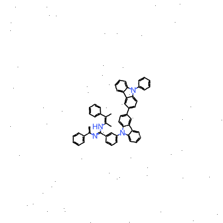 C=C(/N=C(\N/C(C)=C(/C)c1ccccc1)c1cccc(-n2c3ccccc3c3cc(-c4ccc5c(c4)c4ccccc4n5-c4ccccc4)ccc32)c1)c1ccccc1